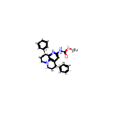 CCCCOC(=O)Nc1cc2c3c(n1)[C@H](c1ccccc1)CCN3CC[C@H]2c1ccccc1